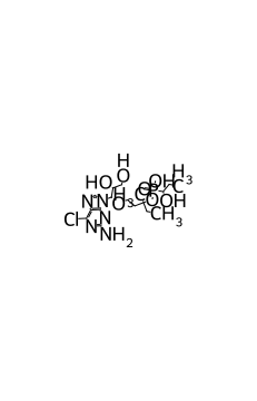 CCC(O)P(=O)(O)OC(C)(CC)CCO[C@H]([C@H](O)CO)n1cnc2c(Cl)nc(N)nc21